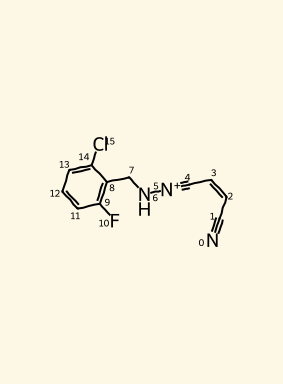 N#C/C=C\C#[N+]NCc1c(F)cccc1Cl